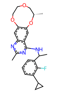 Cc1nc(NC(C)c2cccc(C3CC3)c2F)c2cc3c(cc2n1)OCCOC[C@H](C)O3